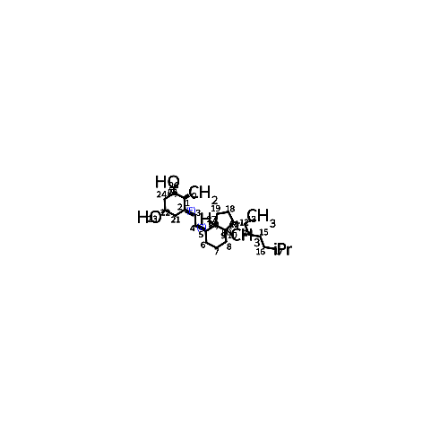 C=C1/C(=C/C=C2/CCC[C@]3(C)[C@@H](C(C)CCCC(C)C)CC[C@@H]23)CC(O)C[C@@H]1O